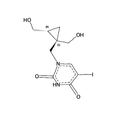 O=c1[nH]c(=O)n(C[C@]2(CO)C[C@H]2CO)cc1I